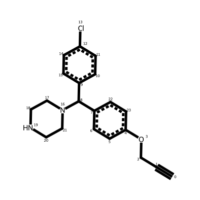 C#CCOc1ccc(C(c2ccc(Cl)cc2)N2CCNCC2)cc1